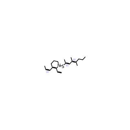 C=CC1=C(/C=C\C)CCCN1S/C(C)=C/C(C)=C(\C)CCC